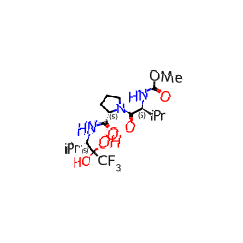 COC(=O)N[C@H](C(=O)N1CCC[C@H]1C(=O)N[C@@H](C(C)C)C(O)(O)C(F)(F)F)C(C)C